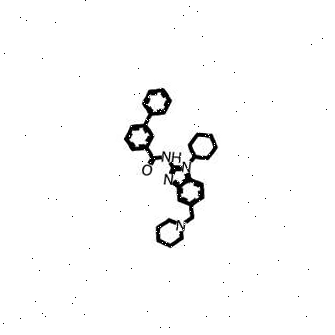 O=C(Nc1nc2cc(CN3CCCCC3)ccc2n1C1CCCCC1)c1cccc(-c2ccccc2)c1